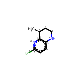 C[C@H]1CCNc2ccc(Br)nc21